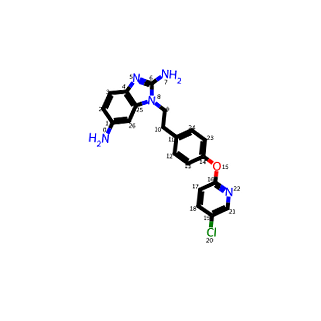 Nc1ccc2nc(N)n(CCc3ccc(Oc4ccc(Cl)cn4)cc3)c2c1